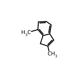 CC1=Cc2cccc(C)c2C1